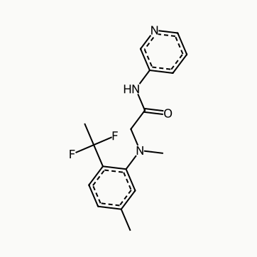 Cc1ccc(C(C)(F)F)c(N(C)CC(=O)Nc2cccnc2)c1